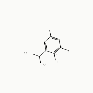 COC(OC)c1cc(F)cc(C)c1O